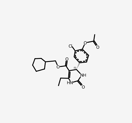 CCC1=C(C(=O)OCC2CCCCC2)[C@H](c2ccc(OC(C)=O)c(Cl)c2)NC(=O)N1